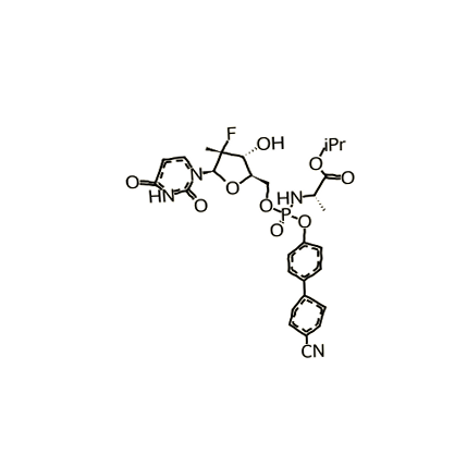 CC(C)OC(=O)[C@H](C)NP(=O)(OC[C@H]1O[C@@H](n2ccc(=O)[nH]c2=O)[C@](C)(F)[C@@H]1O)Oc1ccc(-c2ccc(C#N)cc2)cc1